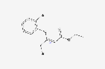 CCOC(=O)/C=C(/CBr)Oc1ccccc1Br